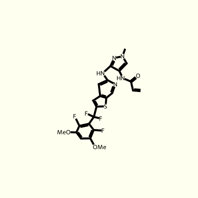 C=CC(=O)Nc1cn(C)nc1Nc1cc2cc(C(F)(F)c3c(F)c(OC)cc(OC)c3F)sc2cn1